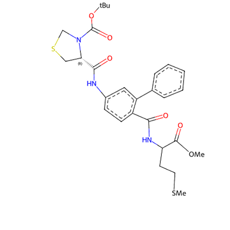 COC(=O)C(CCSC)NC(=O)c1ccc(NC(=O)[C@@H]2CSCN2C(=O)OC(C)(C)C)cc1-c1ccccc1